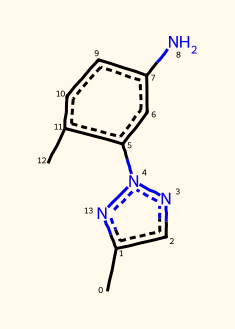 Cc1cnn(-c2cc(N)ccc2C)n1